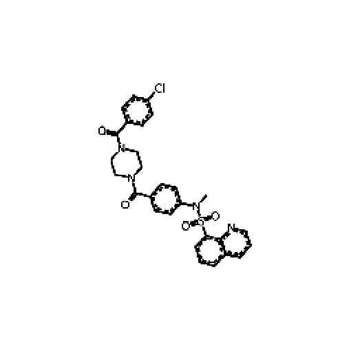 CN(c1ccc(C(=O)N2CCN(C(=O)c3ccc(Cl)cc3)CC2)cc1)S(=O)(=O)c1cccc2cccnc12